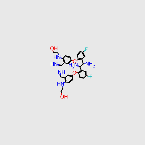 N=Cc1cc(Oc2ccc(F)cc2C(N)C(N)c2cc(F)ccc2Oc2ccc(NCCO)c(C=N)c2)ccc1NCCO